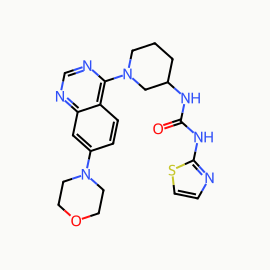 O=C(Nc1nccs1)NC1CCCN(c2ncnc3cc(N4CCOCC4)ccc23)C1